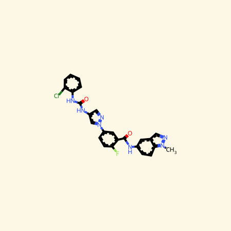 Cn1ncc2cc(NC(=O)c3cc(-n4cc(NC(=O)Nc5ccccc5Cl)cn4)ccc3F)ccc21